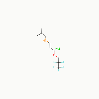 CC(C)CPCCCOCC(F)(F)C(F)(F)F.Cl